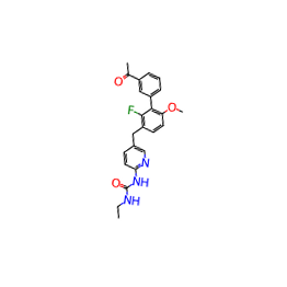 CCNC(=O)Nc1ccc(Cc2ccc(OC)c(-c3cccc(C(C)=O)c3)c2F)cn1